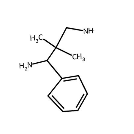 CC(C)(C[NH])C(N)c1ccccc1